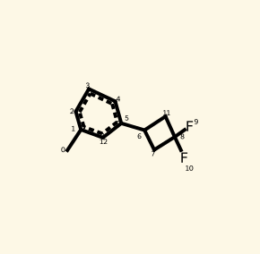 Cc1cccc(C2CC(F)(F)C2)c1